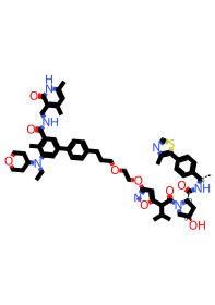 CCN(c1cc(-c2ccc(CCCOCCOc3cc(C(C(=O)N4C[C@H](O)C[C@H]4C(=O)N[C@@H](C)c4ccc(-c5scnc5C)cc4)C(C)C)on3)cc2)cc(C(=O)NCc2c(C)cc(C)[nH]c2=O)c1C)C1CCOCC1